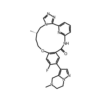 C[C@H]1CCOc2cc(F)c(-c3cnn4c3CN(C)CC4)cc2C(=O)Nc2cccc(n2)-c2nncn2C1